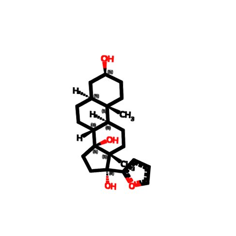 C[C@]12CC[C@H](O)C[C@@H]1CC[C@@H]1[C@@H]2CC[C@]2(C)[C@@](O)(c3ccco3)CC[C@]12O